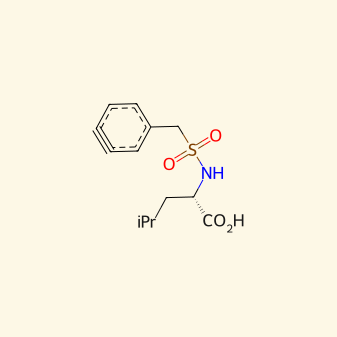 CC(C)C[C@H](NS(=O)(=O)Cc1cc#ccc1)C(=O)O